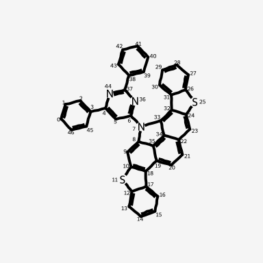 c1ccc(-c2cc(-n3c4cc5sc6ccccc6c5c5ccc6cc7sc8ccccc8c7c3c6c54)nc(-c3ccccc3)n2)cc1